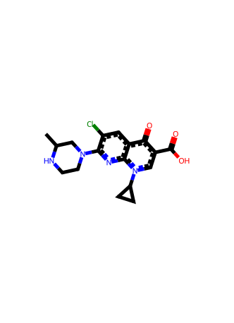 CC1CN(c2nc3c(cc2Cl)c(=O)c(C(=O)O)cn3C2CC2)CCN1